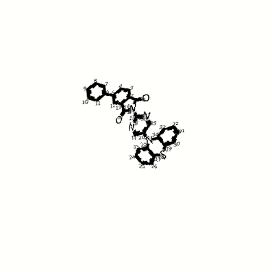 O=C1c2ccc(-c3ccccc3)cc2C(=O)N1c1ncc(N2c3ccccc3Sc3ccccc32)cn1